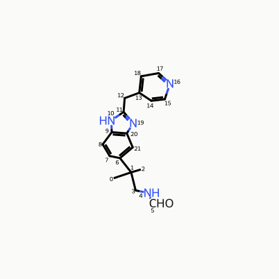 CC(C)(CNC=O)c1ccc2[nH]c(Cc3ccncc3)nc2c1